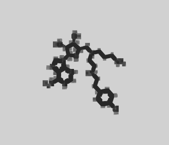 NCCCN(CCNCCc1ccc(Cl)cc1)C[C@H]1O[C@@H](n2cnc3c(N)ncnc32)[C@H](O)[C@@H]1O